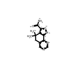 CC1(C)Cc2cncnc2-c2noc(C(N)=O)c21